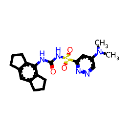 CN(C)c1cnnc(S(=O)(=O)NC(=O)Nc2c3c(cc4c2CCC4)CCC3)c1